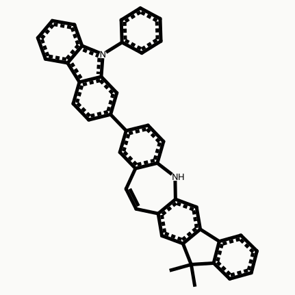 CC1(C)c2ccccc2-c2cc3c(cc21)C=Cc1cc(-c2ccc4c5ccccc5n(-c5ccccc5)c4c2)ccc1N3